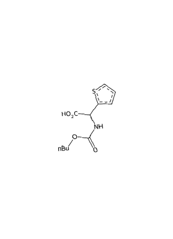 CCCCOC(=O)NC(C(=O)O)c1cccs1